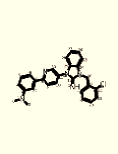 CN(C)c1cccc(-c2ccc(-n3c(=N)n(Cc4ccccc4Cl)c4ccccc43)cn2)c1